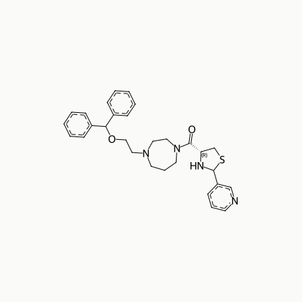 O=C([C@@H]1CSC(c2cccnc2)N1)N1CCCN(CCOC(c2ccccc2)c2ccccc2)CC1